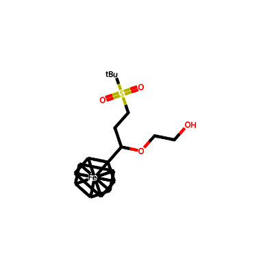 CC(C)(C)S(=O)(=O)CCC(OCCO)[C]12[CH]3[CH]4[CH]5[CH]1[Fe]45321678[CH]2[CH]1[CH]6[CH]7[CH]28